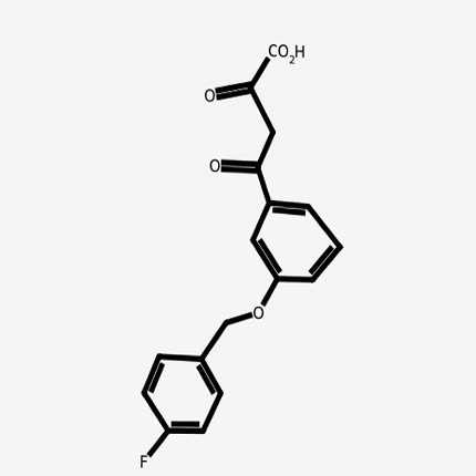 O=C(O)C(=O)CC(=O)c1cccc(OCc2ccc(F)cc2)c1